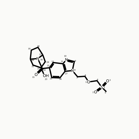 CS(=O)(=O)COCCn1cnc2cc(C(=O)N3C4CCC3CC(O)C4)ccc21